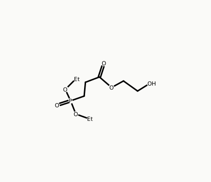 CCOP(=O)(CCC(=O)OCCO)OCC